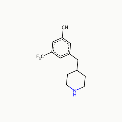 N#Cc1cc(CC2CCNCC2)cc(C(F)(F)F)c1